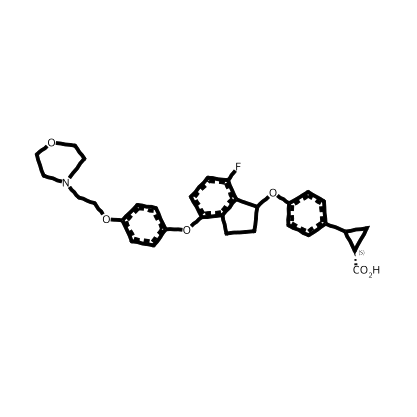 O=C(O)[C@H]1CC1c1ccc(OC2CCc3c(Oc4ccc(OCCN5CCOCC5)cc4)ccc(F)c32)cc1